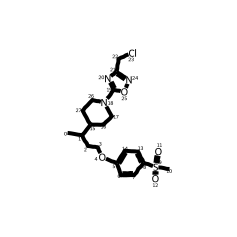 CC(CCOc1ccc(S(C)(=O)=O)cc1)C1CCN(c2nc(CCl)no2)CC1